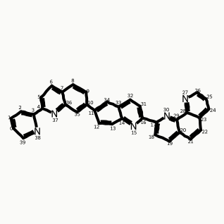 c1ccc(-c2ccc3ccc(-c4ccc5nc(-c6ccc7ccc8cccnc8c7n6)ccc5c4)cc3n2)nc1